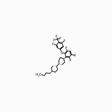 CCCC[C@H]1CC[C@H]([C@H]2CC[C@H](c3c(F)c(F)[c]c(F)c3Oc3cc(F)c(C(F)(F)F)c(F)c3)CC2)CC1